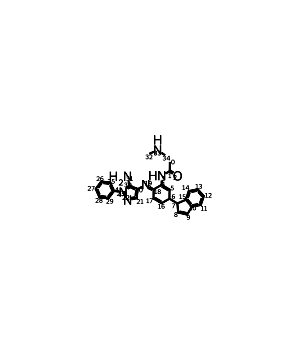 CC(=O)NC1=CC(C2C=Cc3ccccc32)C=CC1=Nc1cnn(-c2ccccc2)c1N.CNC